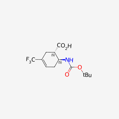 CC(C)(C)OC(=O)N[C@H]1CC=C(C(F)(F)F)C[C@@H]1C(=O)O